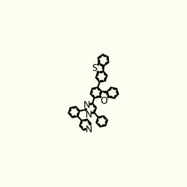 c1ccc(-c2cc(-c3ccc(-c4ccc5c(c4)sc4ccccc45)c4c3oc3ccccc34)nc(-c3ccccc3-c3ccncc3)n2)cc1